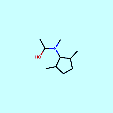 CC1CCC(C)C1N(C)C(C)O